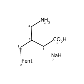 CCC[C@@H](C)CC(CN)CC(=O)O.[NaH]